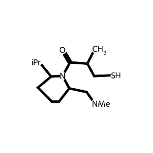 CNCC1CCCC(C(C)C)N1C(=O)C(C)CS